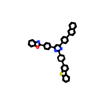 C1=C(c2ccc3c(c2)sc2ccccc23)CCC(c2nc(-c3ccc(-c4ccc5ccccc5c4)cc3)cc(-c3ccc(-c4nc5ccccc5o4)cc3)n2)=C1